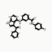 O=C(Nc1ccc(Cl)cc1)c1cccc(Nc2ncnc3[nH]cc(C(=O)c4ccccc4)c23)c1